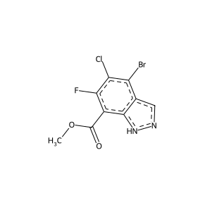 COC(=O)c1c(F)c(Cl)c(Br)c2cn[nH]c12